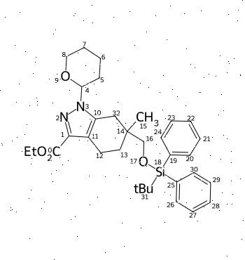 CCOC(=O)c1nn(C2CCCCO2)c2c1CCC(C)(CO[Si](c1ccccc1)(c1ccccc1)C(C)(C)C)C2